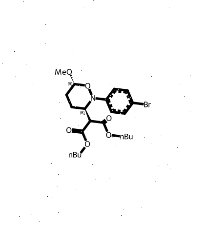 CCCCOC(=O)C(C(=O)OCCCC)[C@H]1CC[C@H](OC)ON1c1ccc(Br)cc1